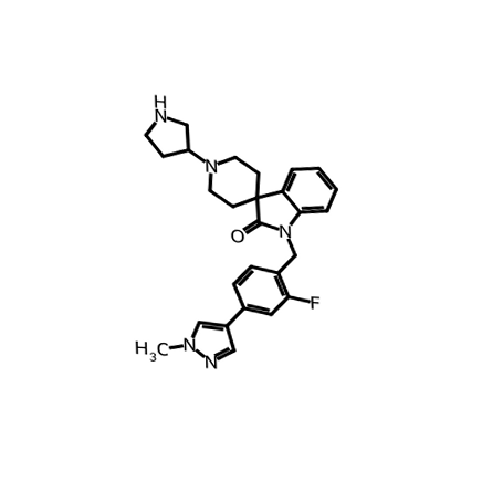 Cn1cc(-c2ccc(CN3C(=O)C4(CCN(C5CCNC5)CC4)c4ccccc43)c(F)c2)cn1